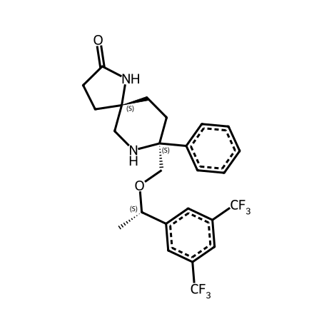 C[C@H](OC[C@@]1(c2ccccc2)CC[C@]2(CCC(=O)N2)CN1)c1cc(C(F)(F)F)cc(C(F)(F)F)c1